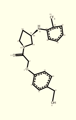 O=C(COc1ccc(CO)cc1)N1CC[C@@H](Nc2ccccc2C(F)(F)F)C1